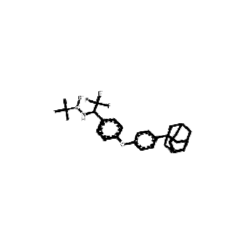 CC(C)(C)[S+]([O-])NC(c1ccc(Oc2ccc(C34CC5CC(CC(C5)C3)C4)cc2)cc1)C(F)(F)F